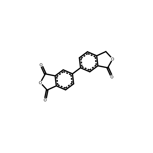 O=C1OCc2ccc(-c3ccc4c(c3)C(=O)OC4=O)cc21